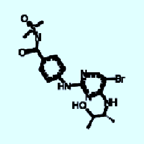 C[C@@H](O)[C@@H](C)Nc1nc(Nc2ccc(C(=O)N=S(C)(C)=O)cc2)ncc1Br